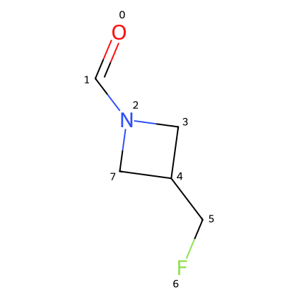 O=CN1CC(CF)C1